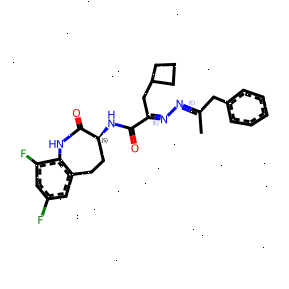 C/C(Cc1ccccc1)=N\N=C(/CC1CCC1)C(=O)N[C@H]1CCc2cc(F)cc(F)c2NC1=O